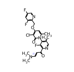 Cc1cnc(C(=O)/C=C/N(C)C)c(F)c1-n1c(C)cc(OCc2ncc(F)cc2F)c(Cl)c1=O